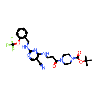 CC(C)(C)OC(=O)N1CCN(C(=O)CCNc2nc(NCc3ccccc3OC(F)(F)F)ncc2C#N)CC1